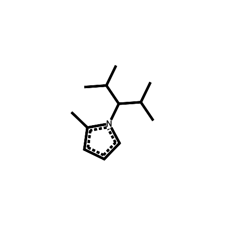 Cc1cccn1C(C(C)C)C(C)C